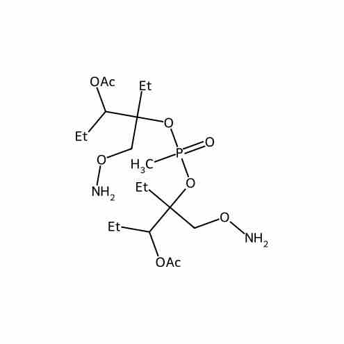 CCC(OC(C)=O)C(CC)(CON)OP(C)(=O)OC(CC)(CON)C(CC)OC(C)=O